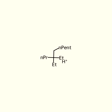 C[CH]CC(CC)(CC)CCCCCC.[H+]